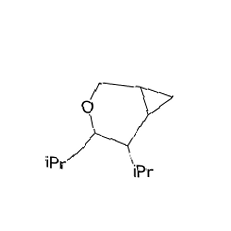 CC(C)C1OCC2CC2C1C(C)C